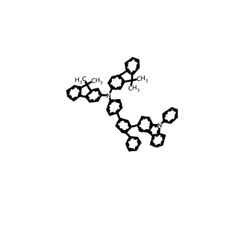 CC1(C)c2ccccc2-c2ccc(N(c3ccc(-c4ccc(-c5ccccc5)c(-c5ccc6c(c5)c5ccccc5n6-c5ccccc5)c4)cc3)c3ccc4c(c3)C(C)(C)c3ccccc3-4)cc21